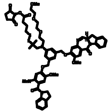 CNc1cc(OCc2cc(COc3cc4c(cc3OC)C(=O)N3c5ccccc5C[C@H]3C=N4)cc(N(CCOCCOCCOC)CC(C)(C)SSCCCC(=O)ON3C(=O)CCC3=O)c2)c(OC)cc1C(=O)N1CCc2ccccc21